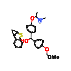 COCOc1ccc(C(O)c2ccc(OC(C)N(C)C)cc2)cc1.c1ccc2c3c(sc2c1)C3